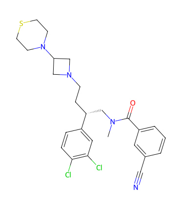 CN(C[C@@H](CCN1CC(N2CCSCC2)C1)c1ccc(Cl)c(Cl)c1)C(=O)c1cccc(C#N)c1